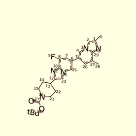 Cc1cn2cc(-c3cc(F)c4nc(C5CCN(C(=O)OC(C)(C)C)CC5)cn4c3)cc(C)c2n1